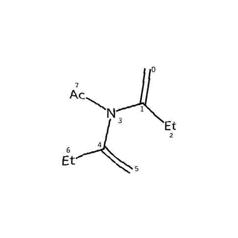 C=C(CC)N(C(=C)CC)C(C)=O